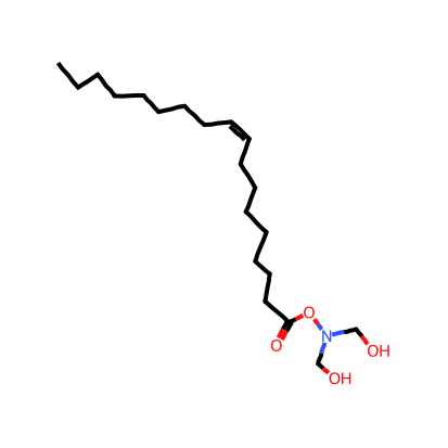 CCCCCCCC/C=C\CCCCCCCC(=O)ON(CO)CO